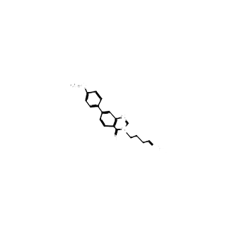 C=CCCCn1cnc2cc(-c3ccc(OC)cc3)ccc2c1=O